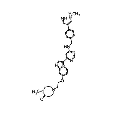 CN/C=C(\C=N)c1ccc(CNc2cc(-c3cnc4cc(OCCN5CCC(=O)N(C)CC5)ccn34)ncn2)cc1